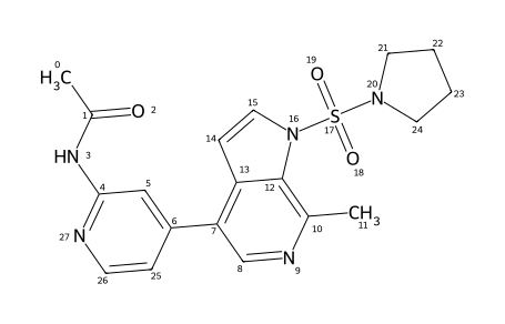 CC(=O)Nc1cc(-c2cnc(C)c3c2ccn3S(=O)(=O)N2CCCC2)ccn1